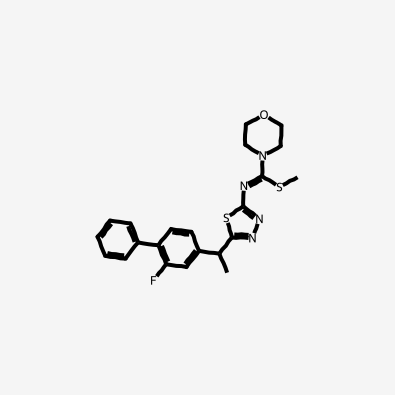 CSC(=Nc1nnc(C(C)c2ccc(-c3ccccc3)c(F)c2)s1)N1CCOCC1